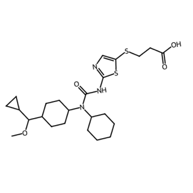 COC(C1CC1)C1CCC(N(C(=O)Nc2ncc(SCCC(=O)O)s2)C2CCCCC2)CC1